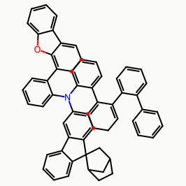 C1=C(c2ccccc2-c2ccccc2)C(c2ccccc2N(c2ccc3c(c2)-c2ccccc2C32CC3CCC2C3)c2ccccc2C2=c3oc4ccccc4c3=CCC2)=CCC1